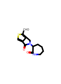 O=Cc1scc2c1CN(C1CCCCNC1=O)C2=O